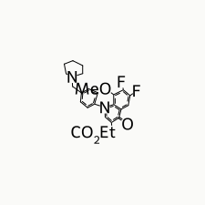 CCOC(=O)c1cn(-c2ccc(CN3CCCCC3)cc2)c2c(OC)c(F)c(F)cc2c1=O